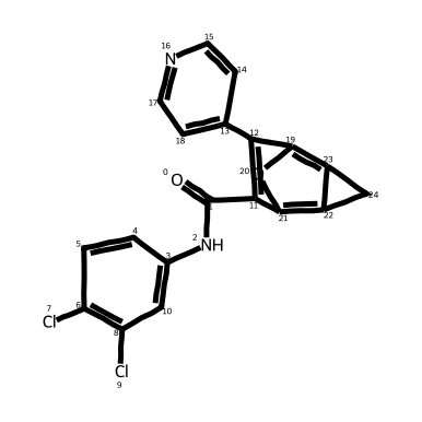 O=C(Nc1ccc(Cl)c(Cl)c1)c1c(-c2ccncc2)c2oc1c1c2C1